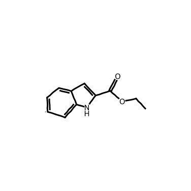 CCOC(=O)c1cc2cc[c]cc2[nH]1